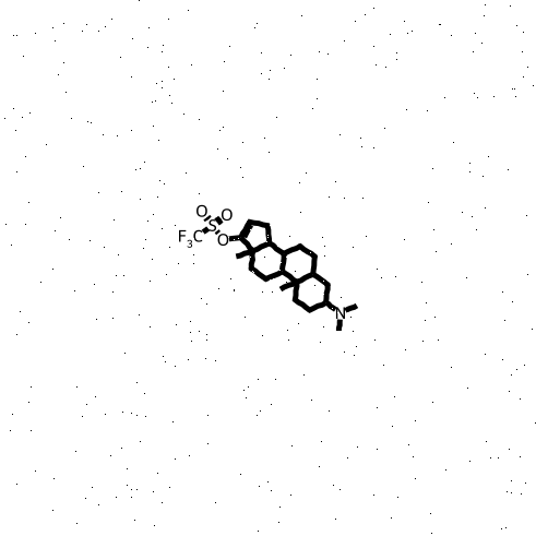 CN(C)C1CCC2(C)C(CCC3C4CC=C(OS(=O)(=O)C(F)(F)F)C4(C)CCC32)C1